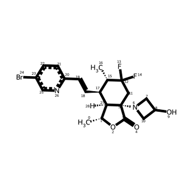 C[C@H]1OC(=O)[C@]2(N3CC(O)C3)CC(F)(F)[C@@H](C)[C@H](C=Cc3ccc(Br)cn3)[C@H]12